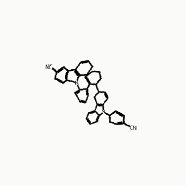 N#CC1=CCC(n2c3c(c4ccccc42)CC(C2CCCC=C2c2ccccc2-n2c4c(c5cc(C#N)ccc52)C=CCC4)C=C3)C=C1